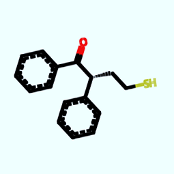 O=C(c1ccccc1)[C@H](CCS)c1ccccc1